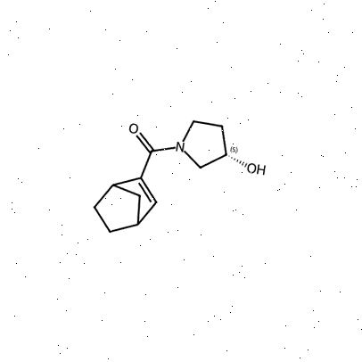 O=C(C1=CC2CCC1C2)N1CC[C@H](O)C1